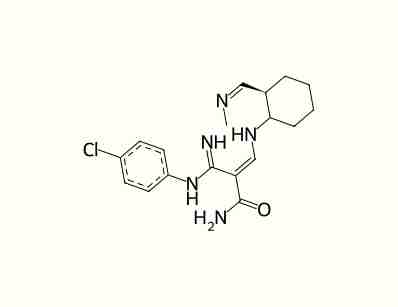 C/N=C\[C@H]1CCCCC1N/C=C(\C(=N)Nc1ccc(Cl)cc1)C(N)=O